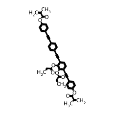 C=CC(=O)Oc1c(C#Cc2ccc(C#Cc3ccc(OC(=O)C(=C)C)cc3)cc2)ccc(C#Cc2ccc(OC(=O)C(=C)C)cc2)c1OC(=O)C=C